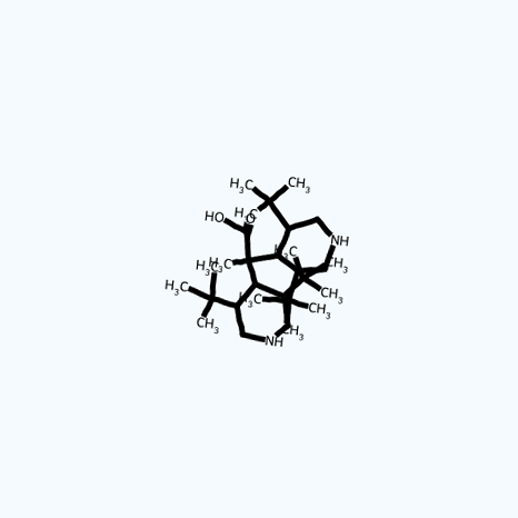 CC(C)(C)C1CNCC(C(C)(C)C)C1C(C)(C(=O)O)C1C(C(C)(C)C)CNCC1C(C)(C)C